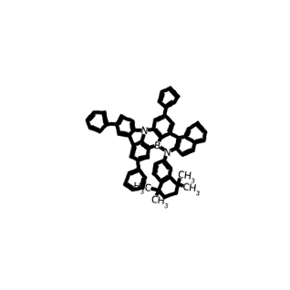 CC1(C)CCC(C)(C)c2cc(N3B4c5c(cc(-c6ccccc6)cc5-n5c6ccc(-c7ccccc7)cc6c6cc(-c7ccccc7)cc4c65)-c4c3ccc3ccccc43)ccc21